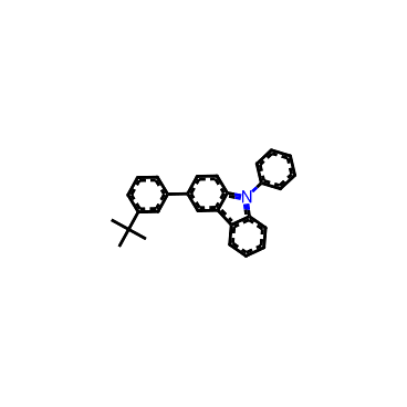 CC(C)(C)c1cccc(-c2ccc3c(c2)c2ccccc2n3-c2ccccc2)c1